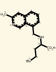 Cc1cc2cccc(CNC(CCC(C)(C)C)C(=O)O)c2cn1